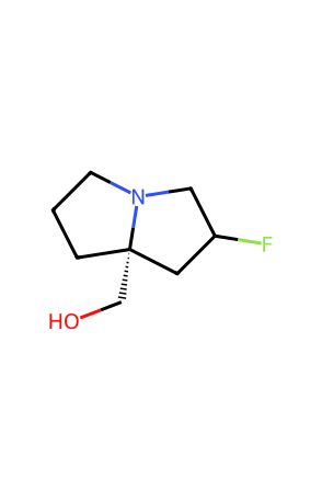 OC[C@]12CCCN1CC(F)C2